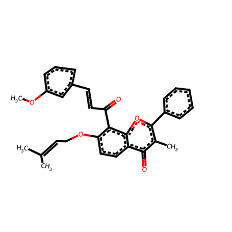 COc1cccc(C=CC(=O)c2c(OCC=C(C)C)ccc3c(=O)c(C)c(-c4ccccc4)oc23)c1